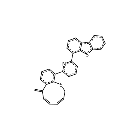 C=C1/C=C\C=C/CSc2c1cccc2-c1cccc(-c2cccc3c2sc2ccccc23)n1